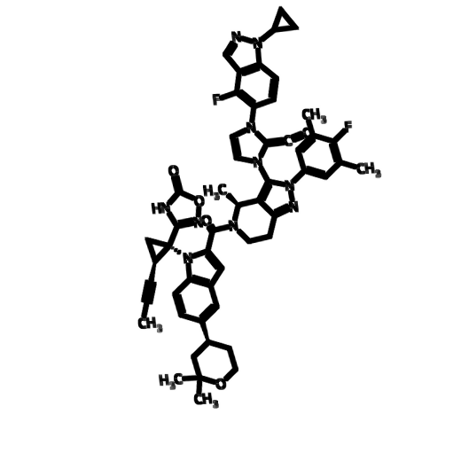 CC#C[C@H]1C[C@]1(c1noc(=O)[nH]1)n1c(C(=O)N2CCc3nn(-c4cc(C)c(F)c(C)c4)c(N4C=CN(c5ccc6c(cnn6C6CC6)c5F)C4=C=O)c3[C@@H]2C)cc2cc([C@H]3CCOC(C)(C)C3)ccc21